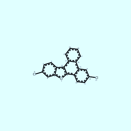 Clc1ccc2c(c1)oc1c3ccc(Cl)cc3c3ccccc3c21